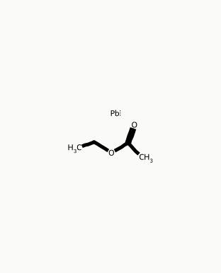 CCOC(C)=O.[Pb]